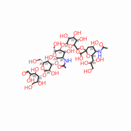 CC(=O)N[C@H]1[C@H](O[C@H]2[C@@H](O)[C@@H](CO)O[C@@H](O[C@@H]([C@H](O)[C@@H](O)C=O)[C@H](O)CO)[C@@H]2O)O[C@H](CO)[C@@H](O[C@@H]2OC(COC3(C(=O)O)C[C@H](O)[C@@H](NC(C)=O)[C@H]([C@H](O)[C@H](O)CO)O3)[C@H](O)[C@H](O)[C@H]2O)[C@@H]1O